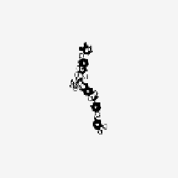 Cc1nccc(Oc2ccc(CC(NC(=O)[C@@H]3Cc4cc5c(cc4CN3S(=O)(=O)N(C)C)O[C@@H](c3ccc(OCc4ccc(Cl)c(Cl)c4)cc3)CO5)C(=O)O)cc2)c1C